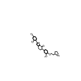 COc1cc(C2CCc3cc(-c4ccc(Cl)cc4Cl)sc3C2=O)ccc1OCCC1CCCN1